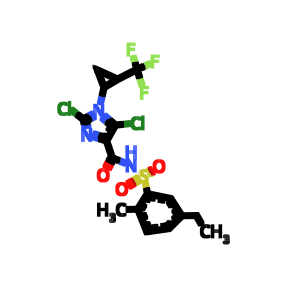 CCc1ccc(C)c(S(=O)(=O)NC(=O)c2nc(Cl)n(C3CC3C(F)(F)F)c2Cl)c1